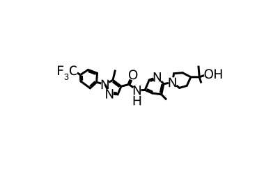 Cc1cc(NC(=O)c2cnn(-c3ccc(C(F)(F)F)cc3)c2C)cnc1N1CCC(C(C)(C)O)CC1